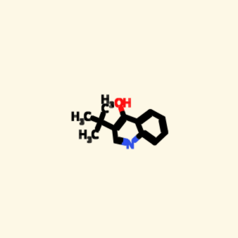 CC(C)(C)c1cnc2ccccc2c1O